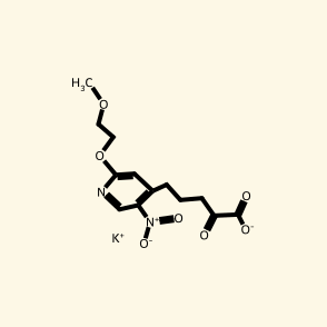 COCCOc1cc(CCCC(=O)C(=O)[O-])c([N+](=O)[O-])cn1.[K+]